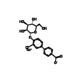 O=C([O-])c1ccc(-c2ccc(O[C@H]3O[C@H](CO)[C@@H](O)[C@H](O)[C@@H]3O)c(Cl)c2)cc1.[Na+]